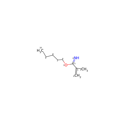 C=C(C)C(=N)OCCCCC